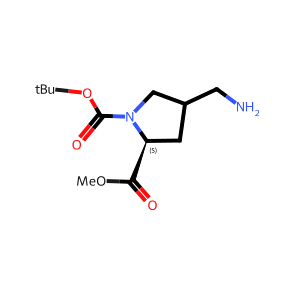 COC(=O)[C@@H]1CC(CN)CN1C(=O)OC(C)(C)C